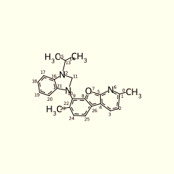 Cc1ccc2c(n1)oc1c(N3CN(C(C)C)c4ccccc43)c(C)ccc12